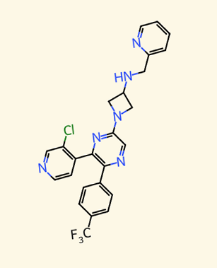 FC(F)(F)c1ccc(-c2ncc(N3CC(NCc4ccccn4)C3)nc2-c2ccncc2Cl)cc1